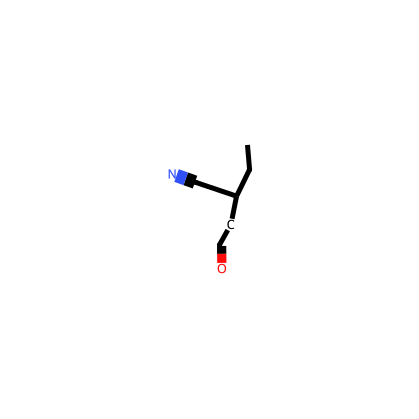 CCC(C#N)CC=O